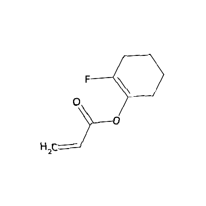 C=CC(=O)OC1=C(F)CCCC1